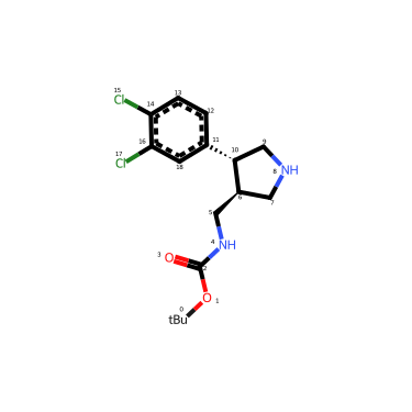 CC(C)(C)OC(=O)NC[C@@H]1CNC[C@H]1c1ccc(Cl)c(Cl)c1